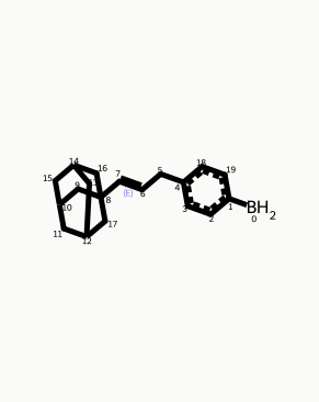 Bc1ccc(C/C=C/C23CC4CC(CC(C4)C2)C3)cc1